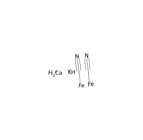 N#[C][Fe].N#[C][Fe].[CaH2].[KH]